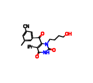 Cc1cc(C#N)cc(C(=O)c2c(C(C)C)c(=O)[nH]c(=O)n2CCCCO)c1